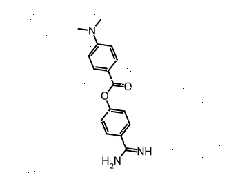 CN(C)c1ccc(C(=O)Oc2ccc(C(=N)N)cc2)cc1